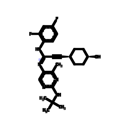 Cc1nc(NC(C)(C)C)ncc1/N=C(\C#C[C@H]1CC[C@@H](O)CC1)Nc1ccc(F)cc1F